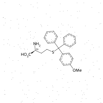 COc1ccc(C(SCC[C@H](N)C(=O)O)(c2ccccc2)c2ccccc2)cc1